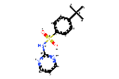 CC(C)(C)c1ccc(S(=O)(=O)Nc2ncccn2)cc1